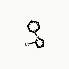 CCc1cccn1-c1ccccc1